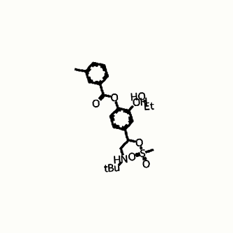 CCO.Cc1cccc(C(=O)Oc2ccc(C(CNC(C)(C)C)OS(C)(=O)=O)cc2O)c1